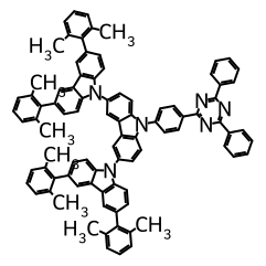 Cc1cccc(C)c1-c1ccc2c(c1)c1cc(-c3c(C)cccc3C)ccc1n2-c1ccc2c(c1)c1cc(-n3c4ccc(-c5c(C)cccc5C)cc4c4cc(-c5c(C)cccc5C)ccc43)ccc1n2-c1ccc(-c2nc(-c3ccccc3)nc(-c3ccccc3)n2)cc1